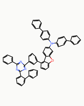 c1ccc(-c2ccc(N(c3ccc(-c4ccccc4)cc3)c3ccc4c(c3)oc3cccc(-c5cccc(-c6nc(-c7ccccc7)nc(-c7ccccc7-c7ccccc7)n6)c5)c34)cc2)cc1